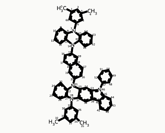 Cc1cc(C)cc(N2c3ccccc3N(c3ccc4cc(N5c6ccccc6N(c6cc(C)cc(C)c6)c6cc7c8ccccc8n(-c8ccccc8)c7cc65)ccc4c3)c3ccccc32)c1